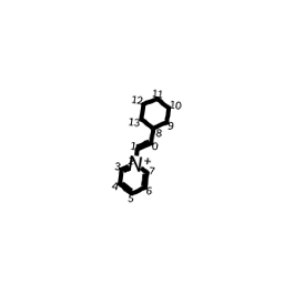 C(=C[n+]1ccccc1)C1CCCCC1